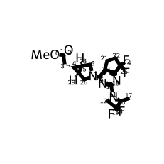 COC(=O)C[C@@H]1[C@H]2CN(c3nc(N4CC(F)(F)C4C)nc4c3CCC4(F)F)C[C@@H]12